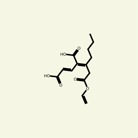 C=COC(=O)CC(CCCC)=C(C=CC(=O)O)C(=O)O